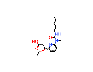 CCCCCNC(=O)N(C)c1cccc([C@H](CC(=O)O)OCC)n1